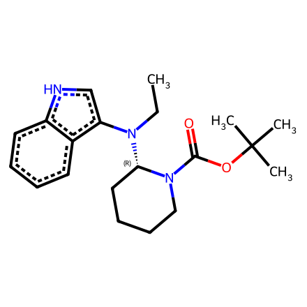 CCN(c1c[nH]c2ccccc12)[C@H]1CCCCN1C(=O)OC(C)(C)C